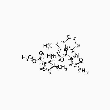 CCC(C(=O)Nc1c(C)csc1C(=O)OC)[N+]1(Cc2cc(C)on2)CCCCC1